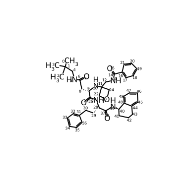 CC(C)(C)CNC(=O)C[C@H](NC1(CNC(=O)c2ccccc2)COC1)C(=O)N[C@@H](CCc1ccccc1)C(=O)N[C@@H]1CCCc2ccccc21